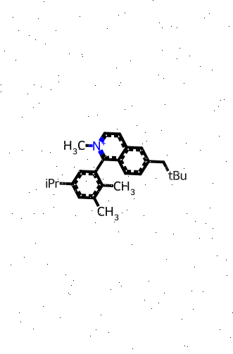 Cc1cc(C(C)C)cc(-c2c3ccc(CC(C)(C)C)cc3cc[n+]2C)c1C